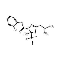 CC(C)CC1=NN(C(=S)Nc2ccccc2Cl)C(O)(C(F)(F)F)C1